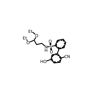 CCOC(CCNS(=O)(=O)c1ccccc1-c1cc(O)ccc1C#N)OCC